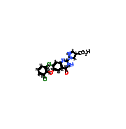 O=C(O)C1C=NN(c2nc3ccc(Oc4c(Cl)cccc4Cl)cc3c(=O)[nH]2)C1